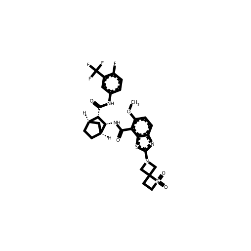 COc1ccc2nc(N3CC4(CCS4(=O)=O)C3)sc2c1C(=O)N[C@@H]1[C@H]2CC[C@H](C2)[C@@H]1C(=O)Nc1ccc(F)c(C(F)(F)F)c1